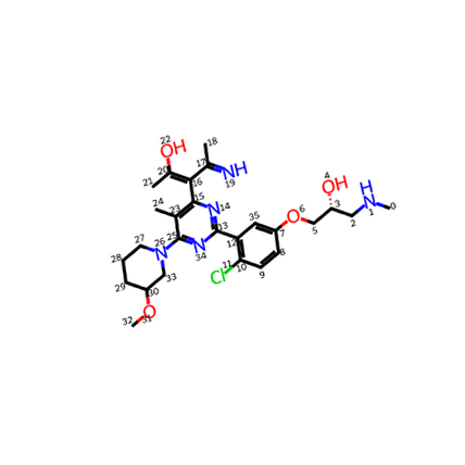 CNC[C@@H](O)COc1ccc(Cl)c(-c2nc(/C(C(C)=N)=C(\C)O)c(C)c(N3CCCC(OC)C3)n2)c1